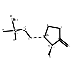 C=C1CC[C@@H](CO[Si](C)(C)C(C)(C)C)[C@@H]1C